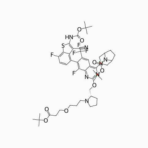 CC(C)(C)OC(=O)CCOCCCN1CCC[C@H]1COc1nc(N2CC3CCC(C2)N3C(=O)OC(C)(C)C)c2cc(C(F)(F)F)c(-c3ccc(F)c4sc(NC(=O)OC(C)(C)C)c(C#N)c34)c(F)c2n1